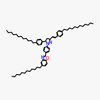 CCCCCCCCCCCCc1ccc(C=CC2=NN(c3ccc(-c4nc5cc(CCCCCCCCCCCC)ccc5o4)cc3)C(c3ccc(CCCCCCCCCCCC)cc3)C2)cc1